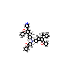 CC1(C)c2cc(N(c3ccc4c(c3)C(C)(C)c3c5c(c6c(oc7ccccc76)c3-4)-c3ccccc3C5(C)C)c3ccc4c(c3)oc3ccccc34)ccc2-c2c1cc(-c1ccncc1)c1oc3ccccc3c21